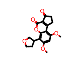 COc1cc(OC)c2c3c(c(=O)oc2c1C1CCOC1)C(=O)CC3